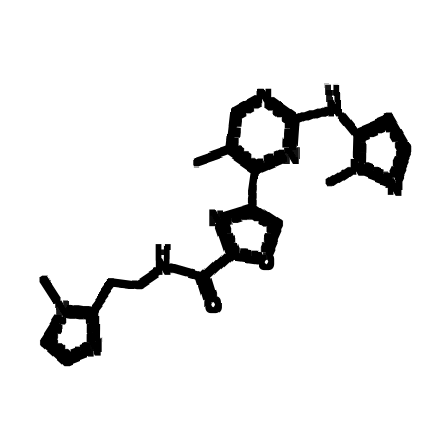 Cc1cnc(Nc2ccnn2C)nc1-c1coc(C(=O)NCCc2nccn2C)n1